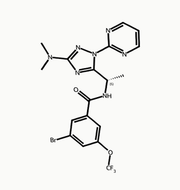 C[C@H](NC(=O)c1cc(Br)cc(OC(F)(F)F)c1)c1nc(N(C)C)nn1-c1ncccn1